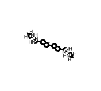 [c]1c(-c2[c]c3ccc(-c4c[nH]c([C@@H]5C[C@@H]6C[C@H]6N5)n4)cc3cc2)ccc2cc(-c3c[nH]c([C@@H]4C[C@@H]5C[C@H]5N4)n3)ccc12